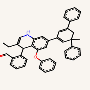 CCC1=CNc2cc(C3=CC(C)(c4ccccc4)CC(c4ccccc4)=C3)cc(Oc3ccccc3)c2C1c1ccccc1C=O